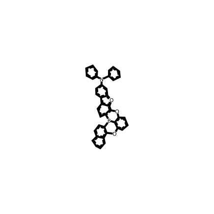 c1ccc(N(c2ccccc2)c2ccc3c(c2)oc2c4c(ccc23)B2c3ccc5ccccc5c3Oc3cccc(c32)O4)cc1